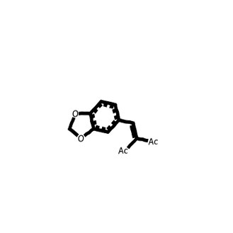 CC(=O)C(=Cc1ccc2c(c1)OCO2)C(C)=O